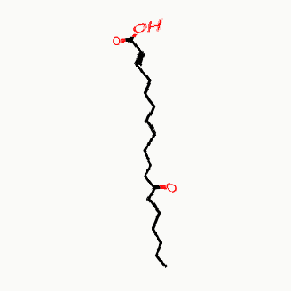 CCCCCCC(=O)CCCCCCCCC=CC(=O)O